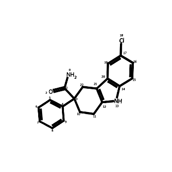 NC(=O)C1(c2ccccc2)CCc2[nH]c3ccc(Cl)cc3c2C1